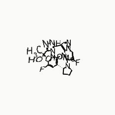 COc1ncc(F)cc1[C@H]1CCCN1c1nc2c(-c3nc(C(C)(C)O)n[nH]3)cnn2cc1F